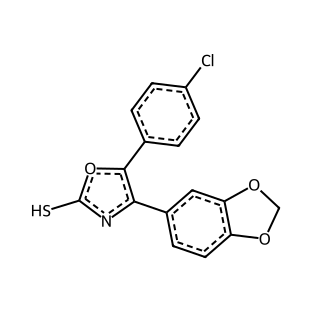 Sc1nc(-c2ccc3c(c2)OCO3)c(-c2ccc(Cl)cc2)o1